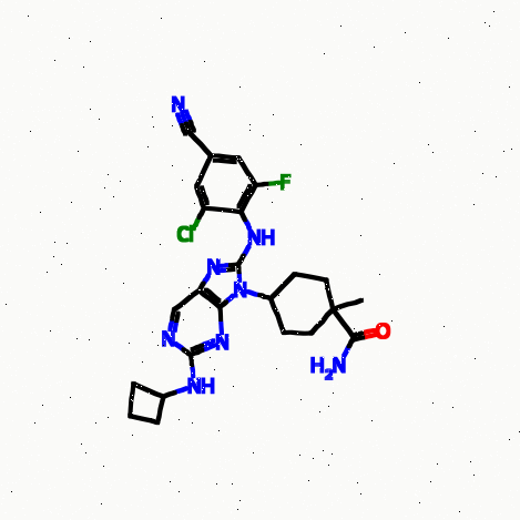 CC1(C(N)=O)CCC(n2c(Nc3c(F)cc(C#N)cc3Cl)nc3cnc(NC4CCC4)nc32)CC1